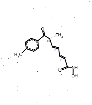 Cc1ccc(C(=O)[C@H](C)/C=C/C=C/C(=O)NO)cc1